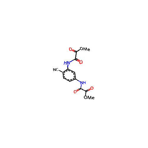 COC(=O)C(=O)Nc1ccc(C#N)c(NC(=O)C(=O)OC)c1